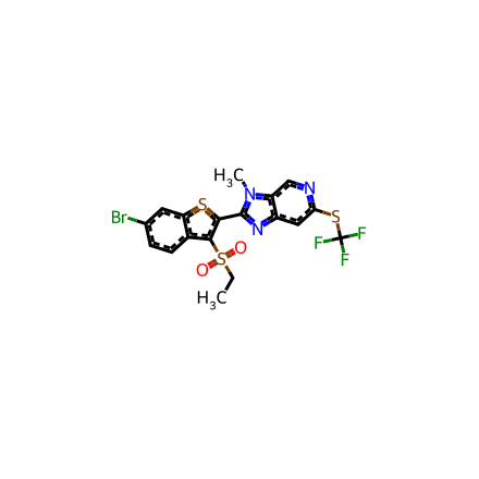 CCS(=O)(=O)c1c(-c2nc3cc(SC(F)(F)F)ncc3n2C)sc2cc(Br)ccc12